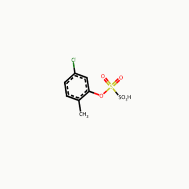 Cc1ccc(Cl)cc1OS(=O)(=O)S(=O)(=O)O